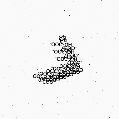 O=C([O-])CC(O)(CC(=O)[O-])C(=O)[O-].O=C([O-])CC(O)(CC(=O)[O-])C(=O)[O-].O=C([O-])CC(O)(CC(=O)[O-])C(=O)[O-].O=C([O-])CC(O)(CC(=O)[O-])C(=O)[O-].O=C([O-])CC(O)(CC(=O)[O-])C(=O)[O-].O=C([O-])CC(O)(CC(=O)[O-])C(=O)[O-].O=C([O-])CC(O)(CC(=O)[O-])C(=O)[O-].O=C([O-])CC(O)(CC(=O)[O-])C(=O)[O-].[C+4].[C+4].[C+4].[C+4].[C+4].[C+4]